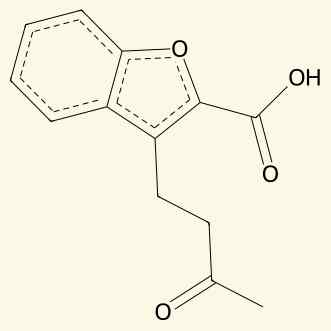 CC(=O)CCc1c(C(=O)O)oc2ccccc12